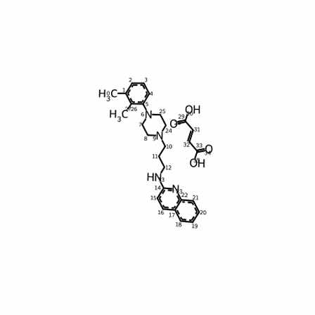 Cc1cccc(N2CCN(CCCNc3ccc4ccccc4n3)CC2)c1C.O=C(O)/C=C/C(=O)O